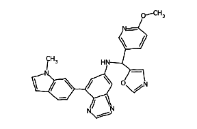 COc1ccc(C(Nc2cc(-c3ccc4ccn(C)c4c3)c3nccnc3c2)c2cnco2)cn1